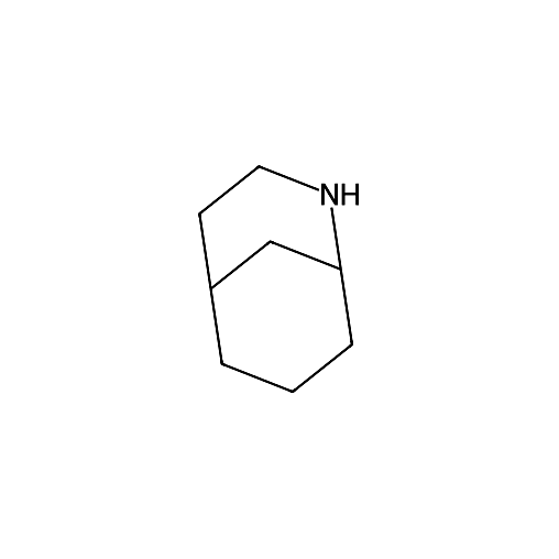 C1CC2CCNC(C1)C2